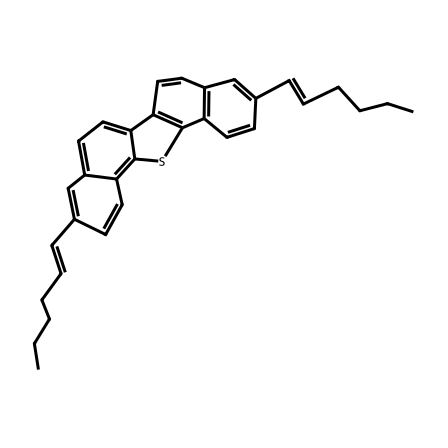 CCCC/C=C/c1ccc2c(ccc3c4ccc5cc(/C=C/CCCC)ccc5c4sc23)c1